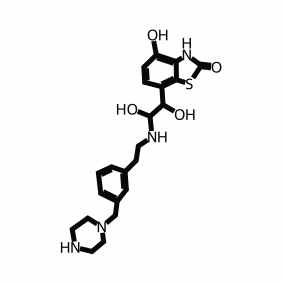 O=c1[nH]c2c(O)ccc(C(O)C(O)NCCc3cccc(CN4CCNCC4)c3)c2s1